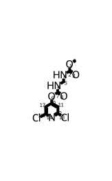 COC(=O)NCNC(=O)Oc1cc(Cl)nc(Cl)c1